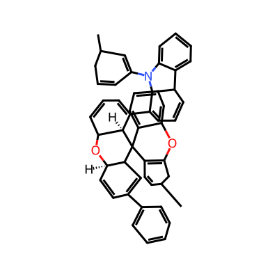 CC1C=C(N2c3ccccc3C3C=CC=C(C4=CC=CC5O[C@@H]6C=CC(c7ccccc7)=CC6C6(C7=C(CC(C)C=C7)Oc7ccccc76)[C@H]45)C32)C=CC1